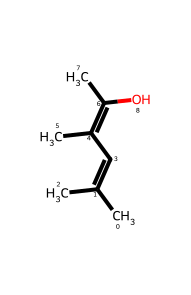 CC(C)=C/C(C)=C(/C)O